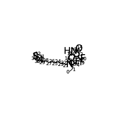 CCc1c(C)c2c3c(C(F)(F)F)cc(=O)[nH]c3ccc2n1CCCCCCCCCN1CCSCC1